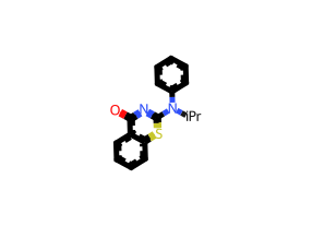 CC(C)N(c1ccccc1)c1nc(=O)c2ccccc2s1